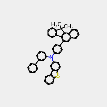 CC1(C)c2ccccc2-c2c(-c3ccc(N(c4cccc(-c5ccccc5)c4)c4ccc5sc6ccccc6c5c4)cc3)cc3ccccc3c21